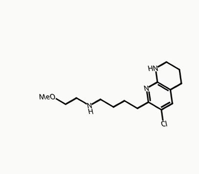 COCCNCCCCc1nc2c(cc1Cl)CCCN2